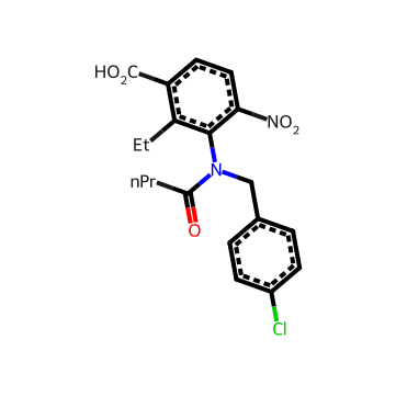 CCCC(=O)N(Cc1ccc(Cl)cc1)c1c([N+](=O)[O-])ccc(C(=O)O)c1CC